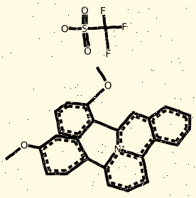 COc1ccc(-c2cccc3c4ccccc4cc(-c4ccccc4OC)[n+]23)cc1.O=S(=O)([O-])C(F)(F)F